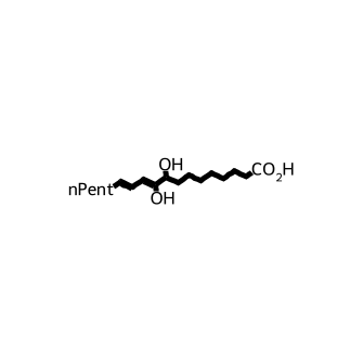 CCCCCC=CC=C(O)C(O)CCCCCCCC(=O)O